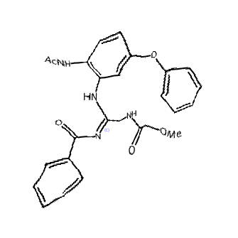 COC(=O)N/C(=N/C(=O)c1ccccc1)Nc1cc(Oc2ccccc2)ccc1NC(C)=O